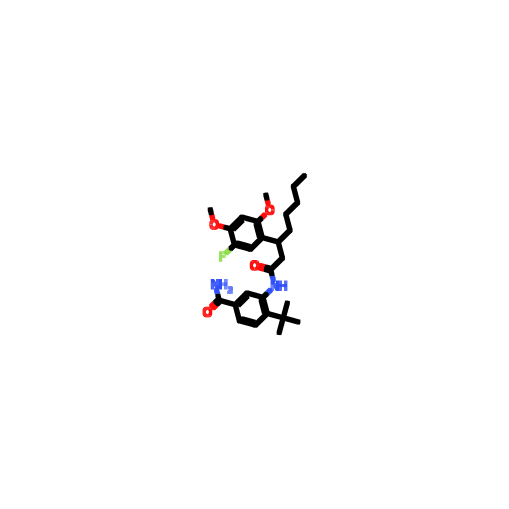 CCCCCC(CC(=O)Nc1cc(C(N)=O)ccc1C(C)(C)C)c1cc(F)c(OC)cc1OC